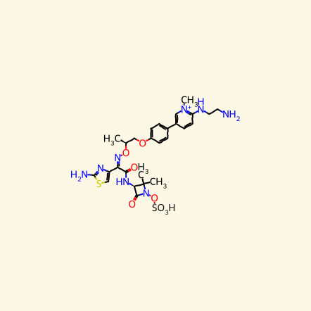 C[C@@H](COc1ccc(-c2ccc(NCCN)[n+](C)c2)cc1)O/N=C(\C(=O)N[C@@H]1C(=O)N(OS(=O)(=O)O)C1(C)C)c1csc(N)n1